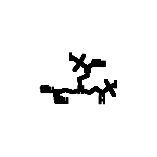 CC(C)(I)NCCN(CCN(C(C)(C)C)C(C)(C)C)CCN(C(C)(C)C)C(C)(C)I